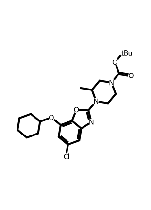 CC1CN(C(=O)OC(C)(C)C)CCN1c1nc2cc(Cl)cc(OC3CCCCC3)c2o1